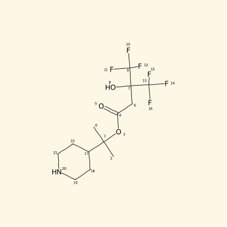 CC(C)(OC(=O)CC(O)(C(F)(F)F)C(F)(F)F)C1CCNCC1